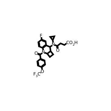 O=C(O)CCC(=O)N(C1CC1)C1c2cc(F)ccc2N(C(=O)c2ccc(OC(F)(F)F)cc2)C2CCC21